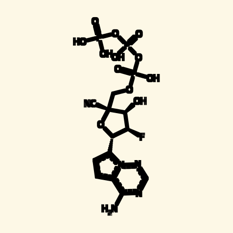 N#C[C@]1(COP(=O)(O)OP(=O)(O)OP(=O)(O)O)O[C@@H](c2ccc3c(N)ncnn23)[C@H](F)[C@@H]1O